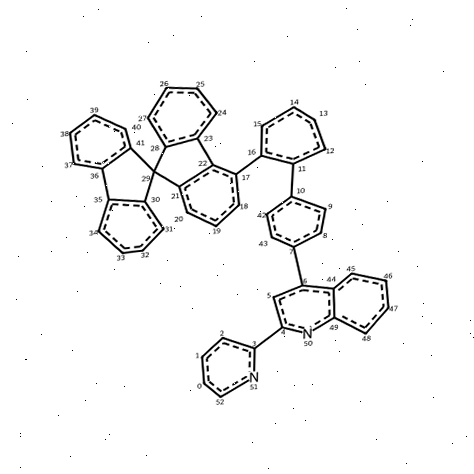 c1ccc(-c2cc(-c3ccc(-c4ccccc4-c4cccc5c4-c4ccccc4C54c5ccccc5-c5ccccc54)cc3)c3ccccc3n2)nc1